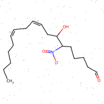 CCCCC/C=C\C/C=C\CC(O)C(CCCC[C]=O)[N+](=O)[O-]